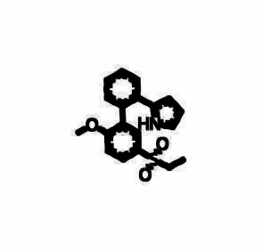 CCS(=O)(=O)c1ccc(OC)c(-c2ccccc2-c2ccc[nH]2)c1